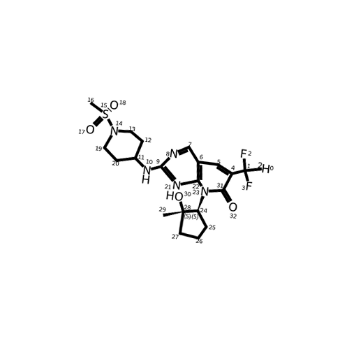 [2H]C(F)(F)c1cc2cnc(NC3CCN(S(C)(=O)=O)CC3)nc2n([C@H]2CCC[C@]2(C)O)c1=O